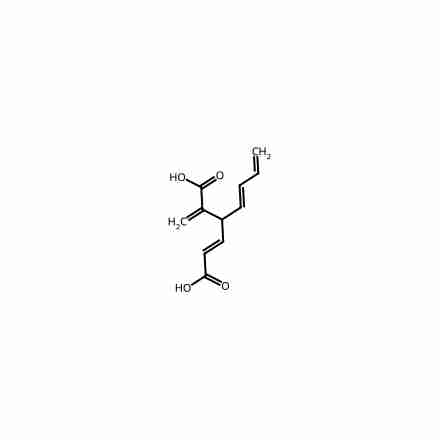 C=CC=CC(C=CC(=O)O)C(=C)C(=O)O